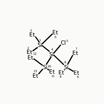 CC[Si](CC)(CC)[Si](Cl)([Si](CC)(CC)CC)[Si](CC)(CC)CC